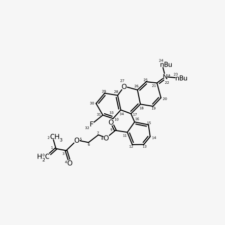 C=C(C)C(=O)OCCOC(=O)c1ccccc1-c1c2ccc(=[N+](CCCC)CCCC)cc-2oc2ccc(F)cc12